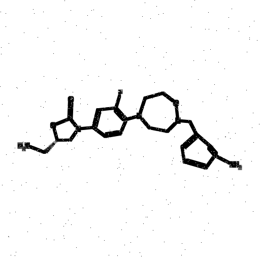 NC[C@H]1CN(c2ccc(N3CCON(Cc4cccc(N)c4)CC3)c(F)c2)C(=O)O1